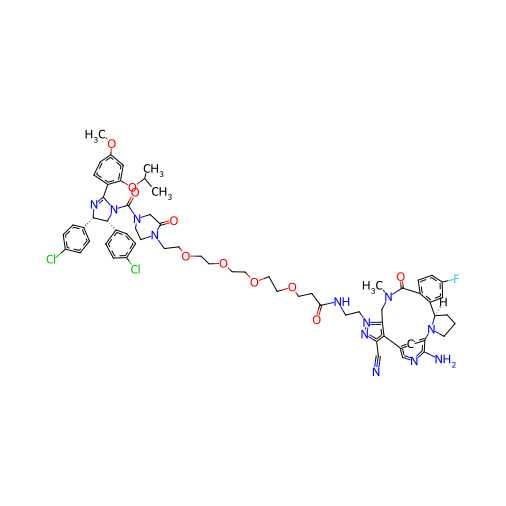 COc1ccc(C2=N[C@@H](c3ccc(Cl)cc3)[C@@H](c3ccc(Cl)cc3)N2C(=O)N2CCN(CCOCCOCCOCCOCCC(=O)NCCn3nc(C#N)c4c3CN(C)C(=O)c3ccc(F)cc3[C@H]3CCCN3c3cc-4cnc3N)C(=O)C2)c(OC(C)C)c1